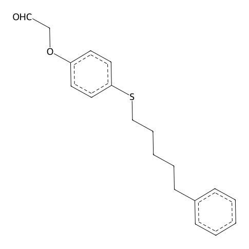 O=CCOc1ccc(SCCCCCc2ccccc2)cc1